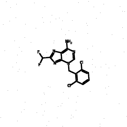 Nc1ncn(Cc2c(Cl)cccc2Cl)c2nc(C(F)F)nc1-2